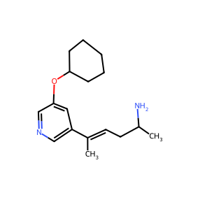 CC(=CCC(C)N)c1cncc(OC2CCCCC2)c1